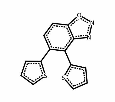 c1csc(-c2ccc3onnc3c2-c2cccs2)c1